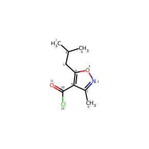 Cc1noc(CC(C)C)c1C(=O)Cl